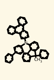 CC1(c2ccccc2)c2ccccc2-c2c(N(c3ccc(-c4ccccc4)cc3)c3ccc4c5ccccc5c5ccccc5c4c3)cccc21